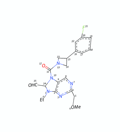 CCN1c2nc(COC)ncc2N(C(=O)N2CC(c3cccc(F)c3)C2)C1C=O